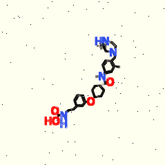 Cc1cc(N(C)C(=O)[C@H]2CC[C@H](Oc3cccc(CCNC(=O)O)c3)CC2)ccc1CN1CCN[C@@H](C)C1